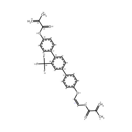 C=C(C)C(=O)O/C=C\Oc1ccc(-c2ccc(-c3ccc(OC(=O)C(=C)C)cc3)c(C(F)(F)F)c2)cc1